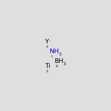 B.N.[Ti].[Y]